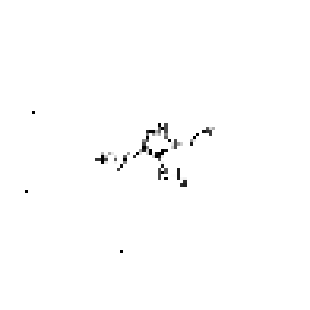 CC(C)Cn1ncc(C(=O)O)c1N